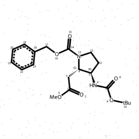 COC(=O)C[C@H]1[C@H](NC(=O)OC(C)(C)C)CCN1C(=O)OCc1ccccc1